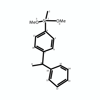 CO[Si](C)(OC)c1ccc(C(C)c2ccccc2)cc1